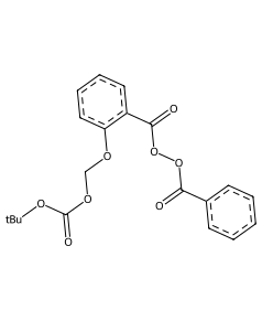 CC(C)(C)OC(=O)OCOc1ccccc1C(=O)OOC(=O)c1ccccc1